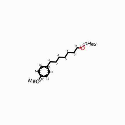 [CH2]CCCCCOCCCCCCCc1ccc(OC)cc1